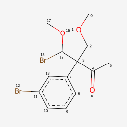 COCC(C(C)=O)(c1cccc(Br)c1)C(Br)OC